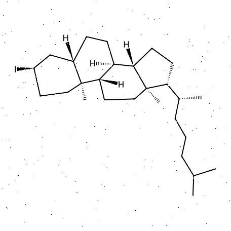 CC(C)CCC[C@@H](C)[C@H]1CC[C@H]2[C@@H]3CC[C@H]4C[C@H](I)CC[C@]4(C)[C@H]3CC[C@]12C